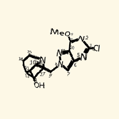 COc1nc(Cl)nc2cn(CC3C(O)C4CCN3CC4)nc12